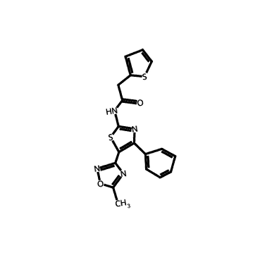 Cc1nc(-c2sc(NC(=O)Cc3cccs3)nc2-c2ccccc2)no1